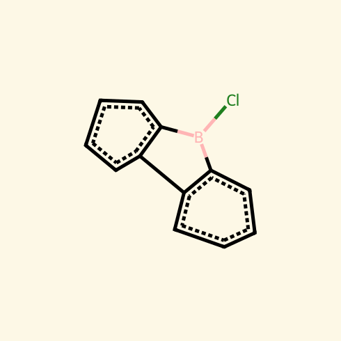 ClB1c2ccccc2-c2ccccc21